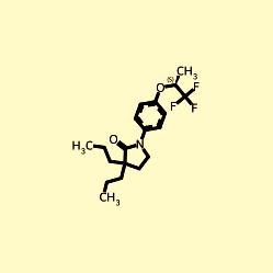 CCCC1(CCC)CCN(c2ccc(O[C@@H](C)C(F)(F)F)cc2)C1=O